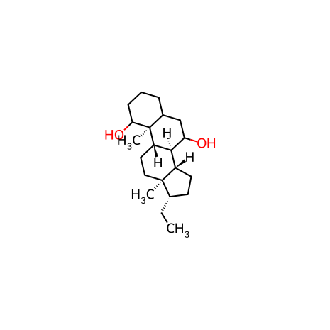 CC[C@H]1CC[C@H]2[C@@H]3C(O)CC4CCCC(O)[C@]4(C)[C@H]3CC[C@]12C